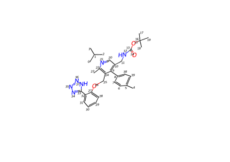 CC(C)C.Cc1ccc(-c2c(CNC(=O)OC(C)(C)C)cnc(C)c2COc2ccccc2-c2nnn[nH]2)cc1